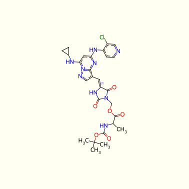 CC(NC(=O)OC(C)(C)C)C(=O)OCN1C(=O)N/C(=C\c2cnn3c(NC4CC4)cc(Nc4ccncc4Cl)nc23)C1=O